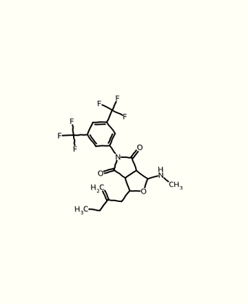 C=C(CC)CC1OC(NC)C2C(=O)N(c3cc(C(F)(F)F)cc(C(F)(F)F)c3)C(=O)C12